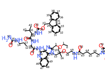 CCOCc1nc2c(NC(=O)[C@H](CCCNC(N)=O)NC(=O)[C@@H](NC(=O)OCC3c4ccccc4-c4ccccc43)C(C)C)nc3ccccc3c2n1CC(C)(C)OCCNC(=O)CCCCCN1C(=O)C=CC1=O